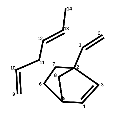 C=CC12C=CC(CC1)C2.C=CCC=CC